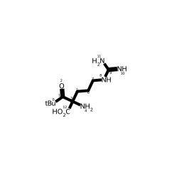 CC(C)(C)C(=O)C(N)(CCCNC(=N)N)C(=O)O